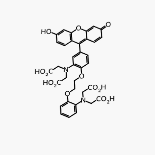 O=C(O)CN(CC(=O)O)c1ccccc1OCCOc1ccc(-c2c3ccc(=O)cc-3oc3cc(O)ccc23)cc1N(CC(=O)O)CC(=O)O